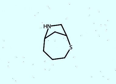 C1CSC2CNC(C1)C2